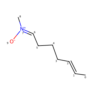 C/C=C/CCC/C=[N+](/C)[O-]